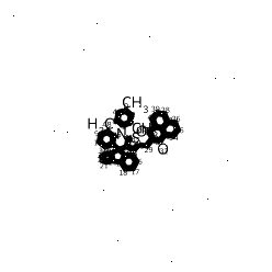 Cc1cc(C)c(N2c3ccccc3C3(c4ccccc4-c4ccccc43)c3cc(C=c4c(=O)c5cccc6cccc(c4=O)c65)sc32)c(C)c1